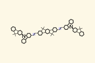 CC1(C)c2ccccc2-c2ccc(-n3c4ccccc4c4cc(/C=C/c5ccc6c(c5)C(C)(C)c5cc7c(cc5-6)C(C)(C)c5cc(/C=C/c6ccc8c(c6)c6ccccc6n8-c6ccc8c(c6)C(C)(C)c6ccccc6-8)ccc5-7)ccc43)cc21